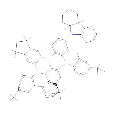 Cc1cc(C(C)(C)C)ccc1N1c2cc(N3c4ccccc4C4(C)CCCCC34C)ccc2B2c3cc4c(cc3N(c3ccc(C(C)(C)C)cc3-c3ccccc3)c3cc(C(C)(C)C)cc1c32)C(C)(C)CC4(C)C